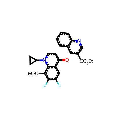 CCOC(=O)c1cnc2ccccc2c1.COc1c(F)c(F)cc2c(=O)ccn(C3CC3)c12